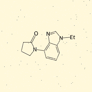 CCn1cnc2c(N3CCCC3=O)cccc21